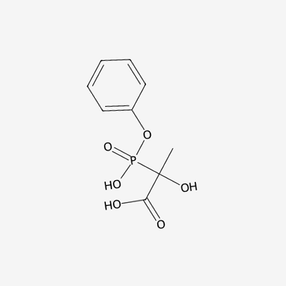 CC(O)(C(=O)O)P(=O)(O)Oc1ccccc1